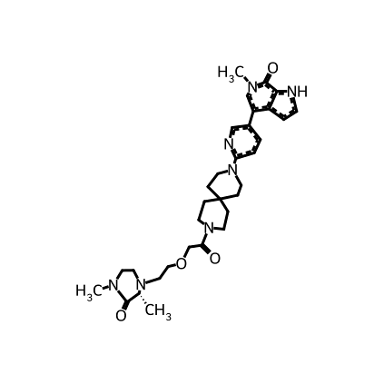 C[C@@H]1C(=O)N(C)CCN1CCOCC(=O)N1CCC2(CC1)CCN(c1ccc(-c3cn(C)c(=O)c4[nH]ccc34)cn1)CC2